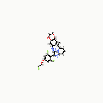 CCc1cccc2nc(-c3c(F)cc(OCCF)cc3F)c(Nc3ccc4c(c3)OCCO4)n12